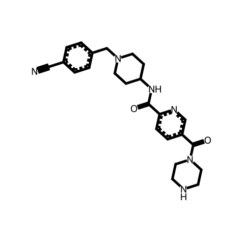 N#Cc1ccc(CN2CCC(NC(=O)c3ccc(C(=O)N4CCNCC4)cn3)CC2)cc1